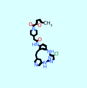 Cc1ccc(C(=O)N2CCC(CC(=O)Nc3ccc4cc3CCC3C=NC=C(C3)Nc3ncc(Cl)c(n3)N4)CC2)o1